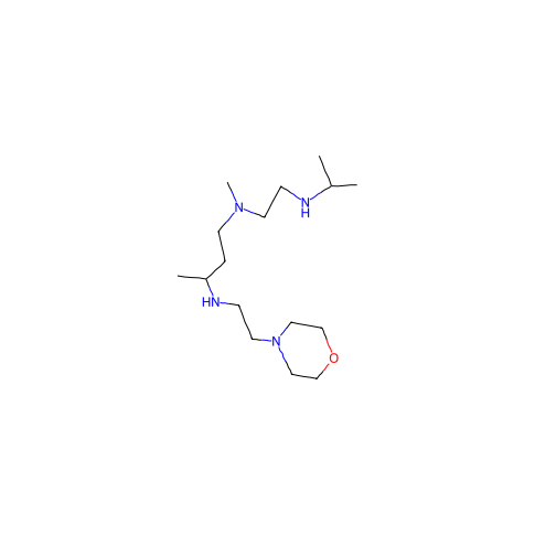 CC(C)NCCN(C)CCC(C)NCCN1CCOCC1